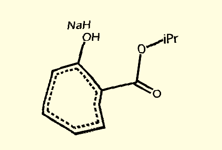 CC(C)OC(=O)c1ccccc1O.[NaH]